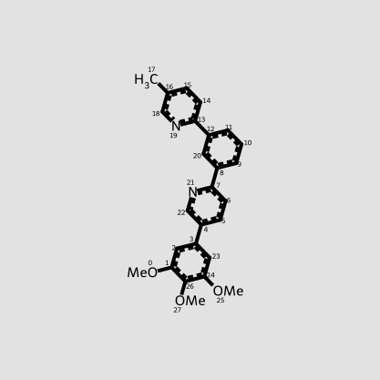 COc1cc(-c2ccc(-c3cccc(-c4ccc(C)cn4)c3)nc2)cc(OC)c1OC